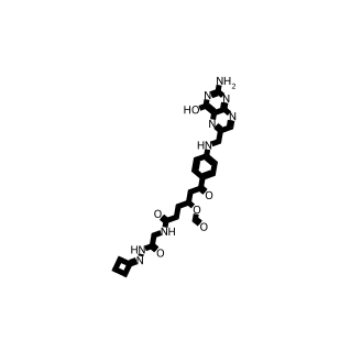 Nc1nc(O)c2nc(CNc3ccc(C(=O)CC(CCC(=O)NCC(=O)NN=C4CCC4)OC=O)cc3)cnc2n1